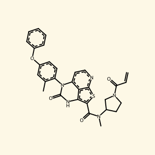 C=CC(=O)N1CCC(N(C)C(=O)c2sc3nccc4c3c2NC(=O)N4c2ccc(Oc3ccccc3)cc2C)C1